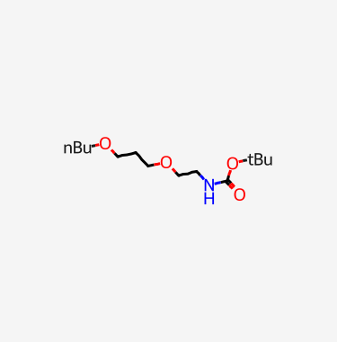 CCCCOCCCOCCNC(=O)OC(C)(C)C